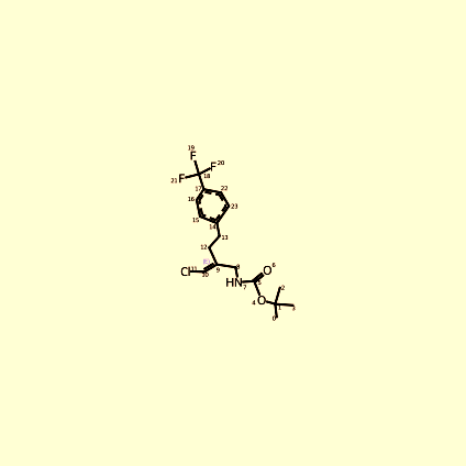 CC(C)(C)OC(=O)NC/C(=C/Cl)CCc1ccc(C(F)(F)F)cc1